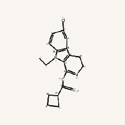 CCn1c2c(c3cc(Cl)ccc31)CCN=C2OC(=O)C1CCC1